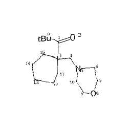 CC(C)(C)C(=O)C1(CN2CCOCC2)CCCCC1